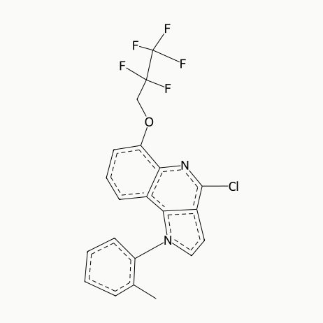 Cc1ccccc1-n1ccc2c(Cl)nc3c(OCC(F)(F)C(F)(F)F)cccc3c21